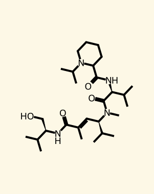 C/C(=C\[C@H](C(C)C)N(C)C(=O)[C@@H](NC(=O)C1CCCCN1C(C)C)C(C)C)C(=O)N[C@H](CO)C(C)C